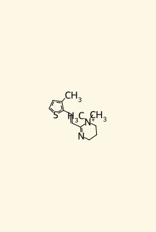 Cc1ccsc1C=CC1=NCCC[N+]1(C)C